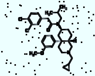 COc1cccc([C@@]23CCN(CC4CC4)C[C@H]2CC[C@H](N(CC(C)C)C(=O)Cc2ccc(Cl)c(Cl)c2)C3)c1